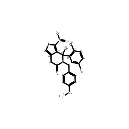 COc1ccc(CN2C(=O)Cc3csc([N+](=O)[O-])c3C2(O)c2cc(F)ccc2Cl)cc1